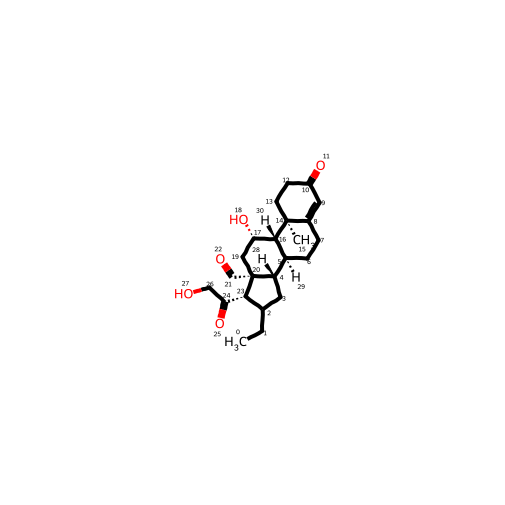 CCC1C[C@H]2[C@@H]3CCC4=CC(=O)CC[C@]4(C)[C@H]3[C@@H](O)C[C@]2(C=O)[C@H]1C(=O)CO